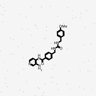 COc1ccc(CNC(=O)NCc2ccc(C(=O)Nc3ccncc3N)cc2)cc1